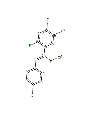 Fc1ccc(/C=C(\CCl)c2cc(F)c(F)cc2F)cc1